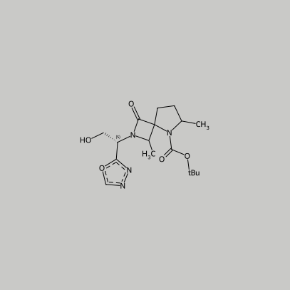 CC1CCC2(C(=O)N([C@@H](CO)c3nnco3)C2C)N1C(=O)OC(C)(C)C